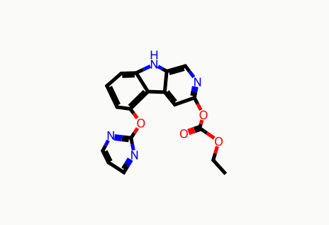 CCOC(=O)Oc1cc2c(cn1)[nH]c1cccc(Oc3ncccn3)c12